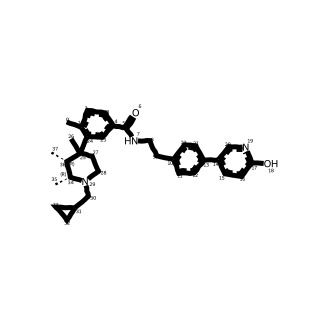 Cc1ccc(C(=O)NCCc2ccc(-c3ccc(O)nc3)cc2)cc1C1(C)CCN(CC2CC2)[C@H](C)[C@@H]1C